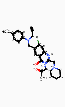 C#CCN(Cc1cc2c(=O)n(CC(=O)OC)c(CN3CCCCC3)nc2cc1Cl)c1ccc(C(=O)O)cc1